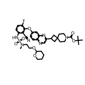 CN(CCOC1CCCCO1)S(=O)(=O)Nc1ccc(F)c(Oc2ccc3ncc(C4CC5(CCN(C(=O)OC(C)(C)C)CC5)C4)nc3c2)c1C#N